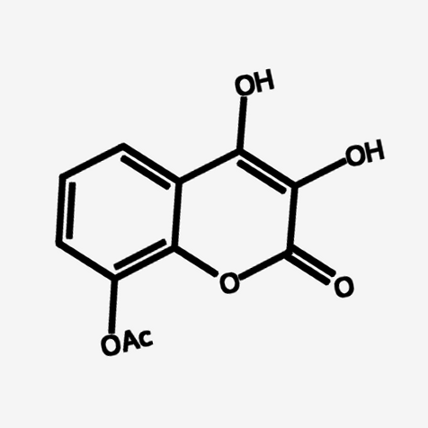 CC(=O)Oc1cccc2c(O)c(O)c(=O)oc12